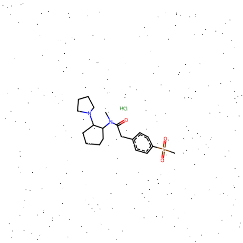 CN(C(=O)Cc1ccc(S(C)(=O)=O)cc1)C1CCCCC1N1CCCC1.Cl